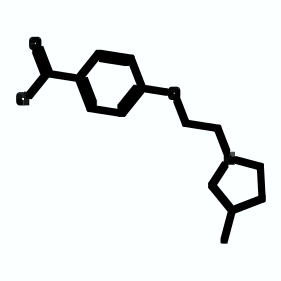 CC1CCN(CCOc2ccc(C(=O)Cl)cc2)C1